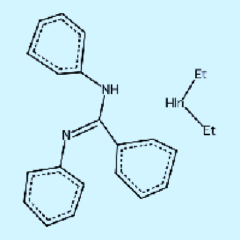 C[CH2][InH][CH2]C.c1ccc(/N=C(/Nc2ccccc2)c2ccccc2)cc1